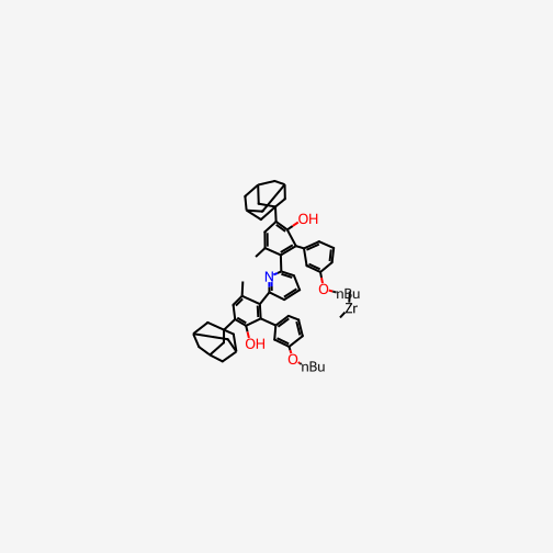 CCCCOc1cccc(-c2c(O)c(C34CC5CC(CC(C5)C3)C4)cc(C)c2-c2cccc(-c3c(C)cc(C45CC6CC(CC(C6)C4)C5)c(O)c3-c3cccc(OCCCC)c3)n2)c1.[CH3][Zr][CH3]